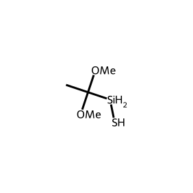 COC(C)(OC)[SiH2]S